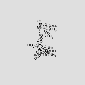 COC1C(C)OC(OC(=O)CC(C)CC(=O)OC(CCCCCCCCCCC(C)C)CC(=O)O[C@H]2CN(C)[C@@H]([C@H](OC3OC(CN)C(O)C3O)C3OC(n4ccc(=O)[nH]c4=O)C(O)C3O)C(=O)C[C@@H]2C(=O)O)C(OC)C1OC